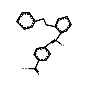 COC(=O)c1ccc(C=C(O)c2ccccc2CCc2ccccc2)cc1